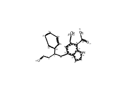 O=CCC(Cc1cc(O)c(C(=O)O)c2[nH]ccc12)C1C=CCCC1